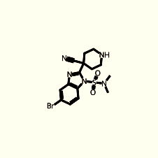 CN(C)S(=O)(=O)n1c(C2(C#N)CCNCC2)nc2cc(Br)ccc21